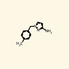 Cc1ccc(Cn2ccc(N)n2)cc1